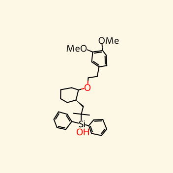 COc1ccc(CCOC2CCCC[C@@H]2CC(C)(C)[Si](O)(c2ccccc2)c2ccccc2)cc1OC